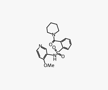 COc1ccncc1NS(=O)(=O)c1ccccc1C(=O)N1CCCCC1